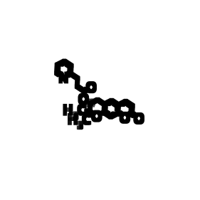 CC1(C)Oc2cc3oc(=O)ccc3cc2C[C@H]1OC(=O)CCc1ccccn1